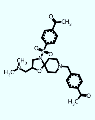 CC(=O)c1ccc(CN2CCC3(CC2)OC(CN(C)C)CN3S(=O)(=O)c2ccc(C(C)=O)cc2)cc1